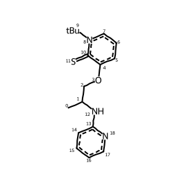 CC(COc1cccn(C(C)(C)C)c1=S)Nc1ccccn1